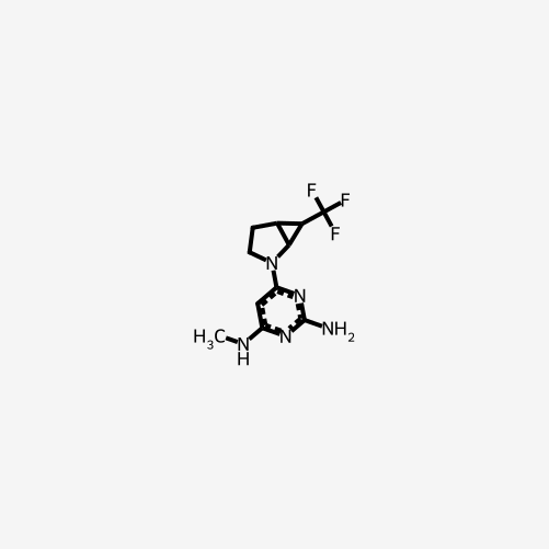 CNc1cc(N2CCC3C2C3C(F)(F)F)nc(N)n1